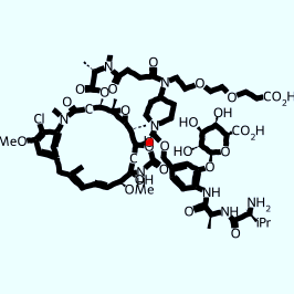 COc1cc2cc(c1Cl)N(C)C(=O)C[C@H](OC(=O)[C@H](C)N(C)C(=O)CCC(=O)N(CCOCCOCCC(=O)O)C1CCN(C(=O)OCc3ccc(NC(=O)[C@H](C)NC(=O)[C@@H](N)C(C)C)c(O[C@@H]4O[C@H](C(=O)O)[C@@H](O)[C@H](O)[C@H]4O)c3)CC1)[C@]1(C)OC1[C@H](C)[C@@H]1C[C@@](O)(NC(=O)O1)[C@H](OC)/C=C/C=C(\C)C2